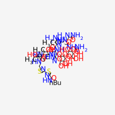 CCCCNC(=O)c1csc(-c2csc(CCNC(=O)[C@@H](NC(=O)C(C)C(O)C(C)NC(=O)C(NC(=O)c3nc([C@@H](CC(N)=O)NC[C@@H](N)C(N)=O)nc(N)c3C)C(OC3OC(CO)C(O)C(O)C3OC3OC(CO)C(O)C(OC(N)=O)C3O)c3cnc[nH]3)[C@H](C)O)n2)n1